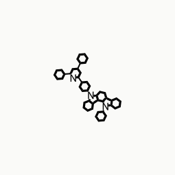 c1ccc(-c2cc(-c3ccccc3)nc(-c3ccc(-n4c5ccccc5c5c4ccc4c6ccccc6n(-c6ccccc6)c45)cc3)c2)cc1